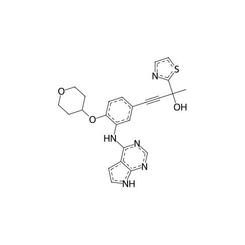 CC(O)(C#Cc1ccc(OC2CCOCC2)c(Nc2ncnc3[nH]ccc23)c1)c1nccs1